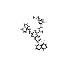 CCc1cccc2cccc(N3CCc4c(nc(OCC56CCCN5CCC6)nc4NCCc4nc(N)n[nH]4)C3)c12